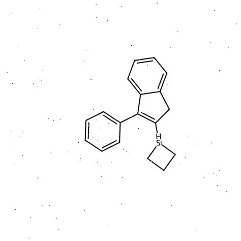 c1ccc(C2=C([SiH]3CCC3)Cc3ccccc32)cc1